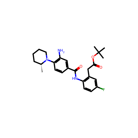 C[C@@H]1CCCCN1c1ccc(C(=O)Nc2ccc(F)cc2CC(=O)OC(C)(C)C)cc1N